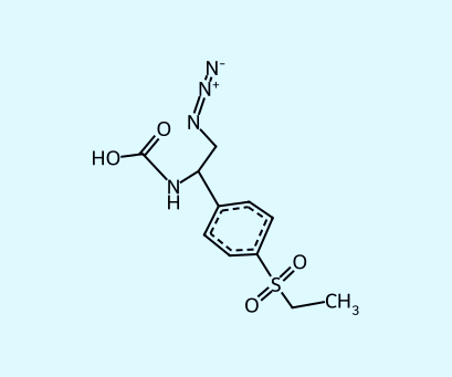 CCS(=O)(=O)c1ccc(C(CN=[N+]=[N-])NC(=O)O)cc1